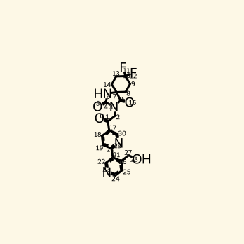 O=C(CN1C(=O)NC2(CCC(F)(F)CC2)C1=O)c1ccc(-c2cnccc2CO)nc1